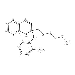 O=Cc1ccccc1OC1(CCCCCO)C=Cc2ccccc2O1